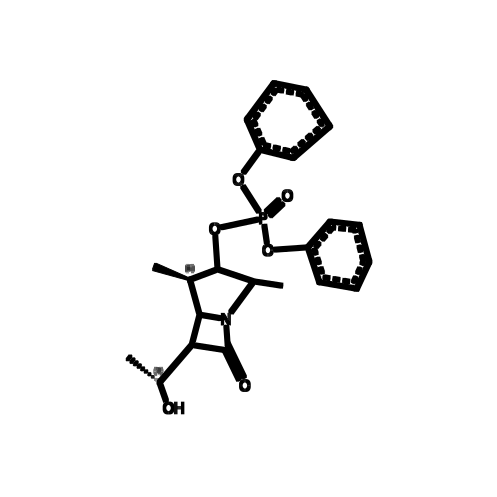 CC1C(OP(=O)(Oc2ccccc2)Oc2ccccc2)[C@H](C)C2C([C@@H](C)O)C(=O)N12